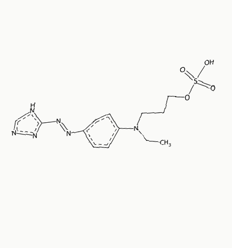 CCN(CCCOS(=O)(=O)O)c1ccc(N=Nc2nnc[nH]2)cc1